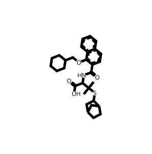 CC(C)(SC1CC2CCC1C2)C(NC(=O)c1ccc2ccccc2c1OCC1CCCCC1)C(=O)O